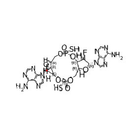 Nc1ncnc2c1ncn2[C@@H]1O[C@@H]2CO[P@](=O)(S)O[C@@H]3[C@H](F)[C@@H](CO[P@@](=O)(S)O[C@H]2[C@H]1F)O[C@H]3n1cnc2c(N)ncnc21